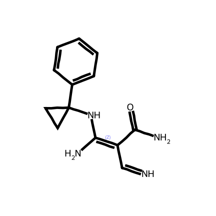 N=C/C(C(N)=O)=C(\N)NC1(c2ccccc2)CC1